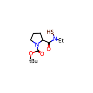 CCN(S)C(=O)C1CCCN1C(=O)OC(C)(C)C